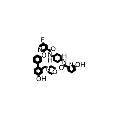 O=C(NC1CCC(NC(=O)c2cc(F)cnc2Oc2cccc(-c3ccc(O)cc3CN3CCOCC3)c2)CC1)c1cccc(O)n1